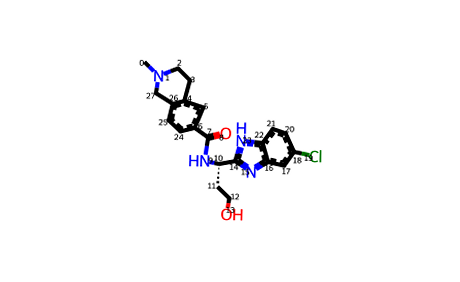 CN1CCc2cc(C(=O)N[C@@H](CCO)c3nc4cc(Cl)ccc4[nH]3)ccc2C1